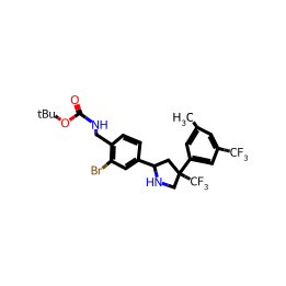 Cc1cc(C(F)(F)F)cc(C2(C(F)(F)F)CNC(c3ccc(CNC(=O)OC(C)(C)C)c(Br)c3)C2)c1